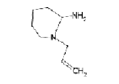 C=CCN1CCCCC1N